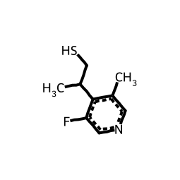 Cc1cncc(F)c1C(C)CS